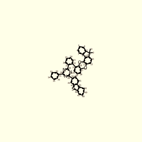 CC1(C)c2ccccc2-c2c1ccc1c2Oc2c(cccc2-c2ccccc2-c2nc(-c3ccccc3)nc(-c3ccc4c(c3)sc3ccccc34)n2)O1